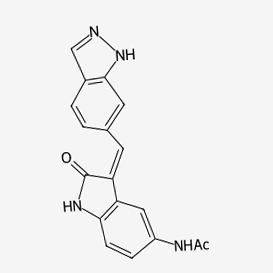 CC(=O)Nc1ccc2c(c1)C(=Cc1ccc3cn[nH]c3c1)C(=O)N2